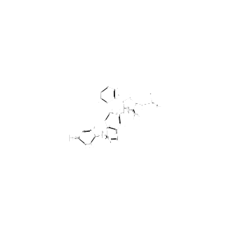 C[C@@]1(CC(F)F)[CH][C@H](c2ccccc2)N(c2ccc3c(cnn3-c3ccc(F)cc3)c2)C1=O